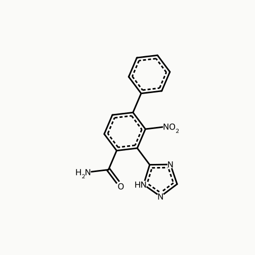 NC(=O)c1ccc(-c2ccccc2)c([N+](=O)[O-])c1-c1ncn[nH]1